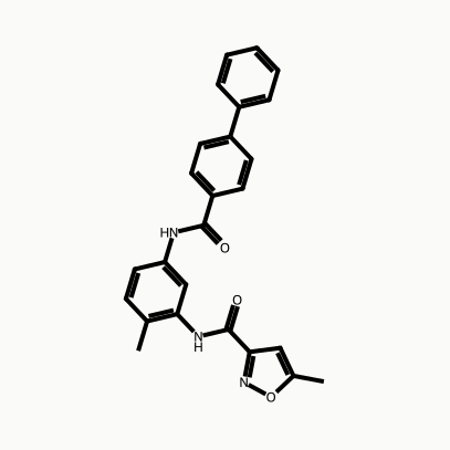 Cc1cc(C(=O)Nc2cc(NC(=O)c3ccc(-c4ccccc4)cc3)ccc2C)no1